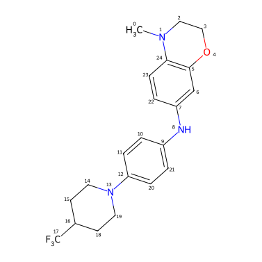 CN1CCOc2cc(Nc3ccc(N4CCC(C(F)(F)F)CC4)cc3)ccc21